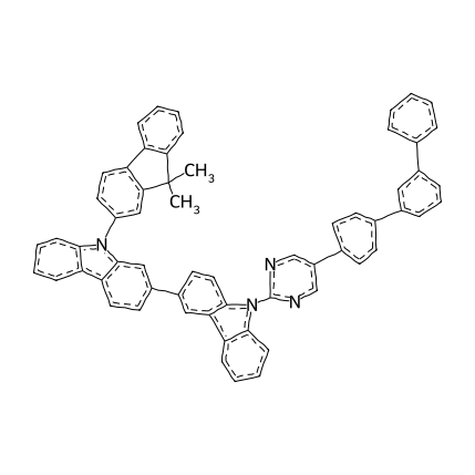 CC1(C)c2ccccc2-c2ccc(-n3c4ccccc4c4ccc(-c5ccc6c(c5)c5ccccc5n6-c5ncc(-c6ccc(-c7cccc(-c8ccccc8)c7)cc6)cn5)cc43)cc21